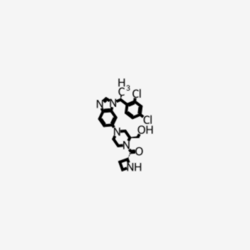 C[C@H](c1ccc(Cl)cc1Cl)n1cnc2ccc(N3CCN(C(=O)[C@H]4CCN4)[C@H](CO)C3)cc21